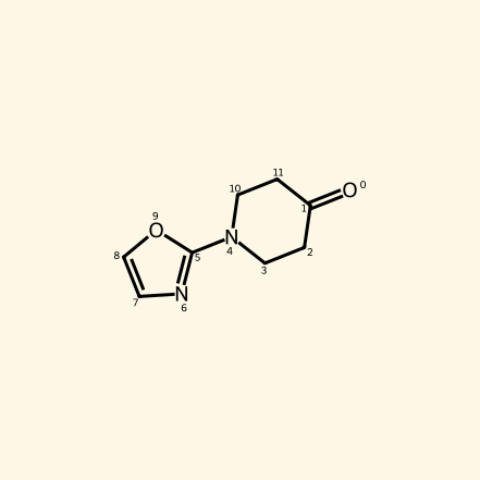 O=C1CCN(c2ncco2)CC1